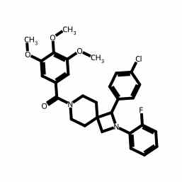 COc1cc(C(=O)N2CCC3(CC2)CN(c2ccccc2F)C3c2ccc(Cl)cc2)cc(OC)c1OC